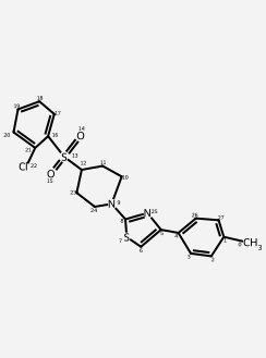 Cc1ccc(-c2csc(N3CCC(S(=O)(=O)c4ccccc4Cl)CC3)n2)cc1